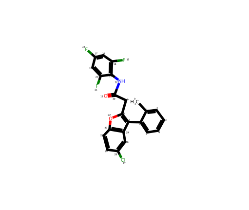 Cc1ccccc1-c1c(CC(=O)Nc2c(F)cc(F)cc2F)oc2ccc(Cl)cc12